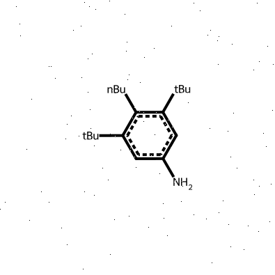 CCCCc1c(C(C)(C)C)cc(N)cc1C(C)(C)C